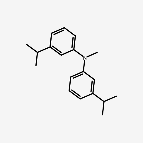 CC(C)c1cccc(N(C)c2cccc(C(C)C)c2)c1